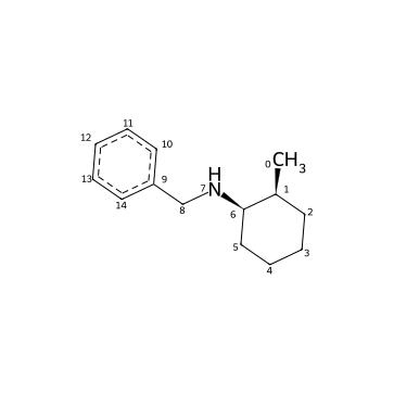 C[C@H]1CCCC[C@H]1NCc1ccccc1